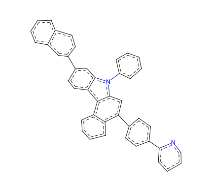 c1ccc(-n2c3cc(-c4ccc5ccccc5c4)ccc3c3c4ccccc4c(-c4ccc(-c5ccccn5)cc4)cc32)cc1